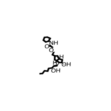 CCCCCC(O)C=C[C@H]1[C@@H]2CC(CCOCC(=O)NC3CCCCC3)C[C@H]2C[C@@H]1O